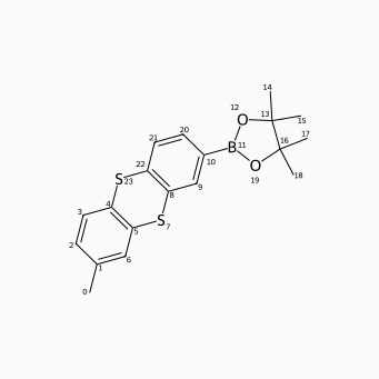 Cc1ccc2c(c1)Sc1cc(B3OC(C)(C)C(C)(C)O3)ccc1S2